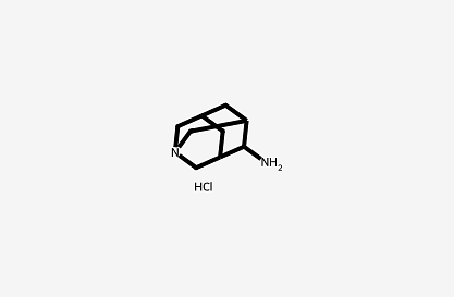 Cl.NC1C2CC3CC1CN(C3)C2